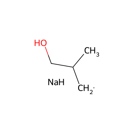 [CH2]C(C)CO.[NaH]